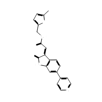 Cc1ccc(CNC(=O)/C=C2\C(=O)Nc3cc(-c4ccncc4)ccc32)o1